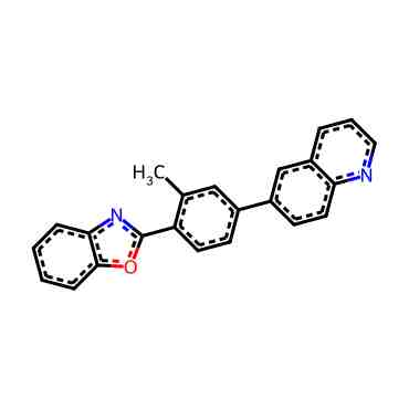 Cc1cc(-c2ccc3ncccc3c2)ccc1-c1nc2ccccc2o1